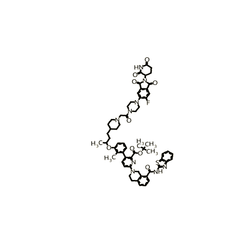 Cc1c(OC(C)CCC2CCN(CC(=O)N3CCN(c4cc5c(cc4F)C(=O)N(C4CCC(=O)NC4=O)C5=O)CC3)CC2)cccc1-c1ccc(N2CCc3cccc(C(=O)Nc4nc5ccccc5s4)c3C2)nc1C(=O)OC(C)(C)C